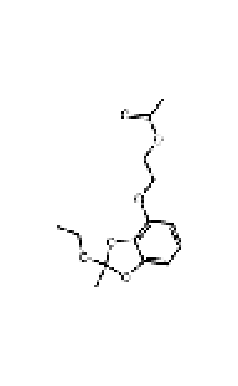 CCOC1(C)Oc2cccc(OCCOC(C)=O)c2O1